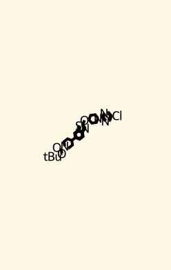 CC(C)(C)OC(=O)N1CCC(c2ccc3nc(OC4CCN(c5ncc(Cl)cn5)CC4)sc3c2)CC1